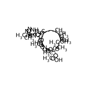 CO[C@@H]1C[C@@H](CC(C)[C@@H]2CC(=O)[C@H](C)/C=C(\C)[C@@H](O)[C@@H](OC)C(=O)[C@H](C)C[C@H](C)/C=C/C=C/C=C(/C)[C@@H](Oc3ccc4[nH]c(-c5nn(C(C)C)c6ncnc(N)c56)cc4c3)C[C@@H]3CC[C@@H](C)[C@@](O)(O3)C(=O)C(=O)N3CCCC[C@H]3C(=O)O2)CC[C@H]1O